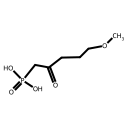 COCCCC(=O)CP(=O)(O)O